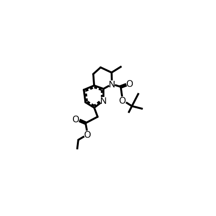 CCOC(=O)Cc1ccc2c(n1)N(C(=O)OC(C)(C)C)C(C)CC2